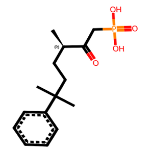 C[C@H](CCC(C)(C)c1ccccc1)C(=O)CP(=O)(O)O